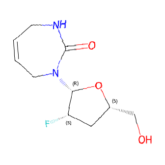 O=C1NCC=CCN1[C@@H]1O[C@H](CO)C[C@@H]1F